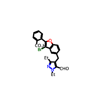 CCc1nn(CC)c(C=O)c1Cc1ccc2oc(-c3ccccc3C(=O)O)c(Br)c2c1